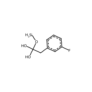 OC(O)(Cc1cccc(F)c1)O[SiH3]